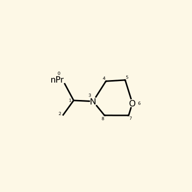 [CH2]CCC(C)N1CCOCC1